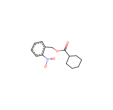 O=C(OCc1ccccc1[N+](=O)[O-])C1CCCCC1